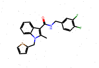 Cc1c(C(=O)NCc2ccc(F)c(F)c2)c2ccccc2n1Cc1cccs1